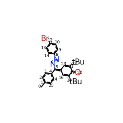 Cc1ccc(C(N=Nc2ccc(Br)cc2)=C2C=C(C(C)(C)C)C(=O)C(C(C)(C)C)=C2)cc1